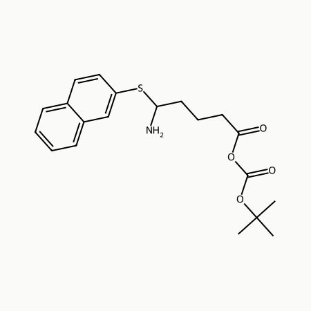 CC(C)(C)OC(=O)OC(=O)CCCC(N)Sc1ccc2ccccc2c1